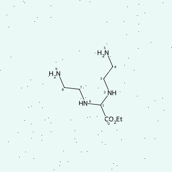 CCOC(=O)C(NCCN)NCCN